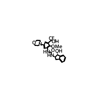 COc1c(NC(=O)N[C@@H]2Cc3ccccc3[C@H]2O)cc(N2CCOCC2)cc1C(O)C(F)(F)F